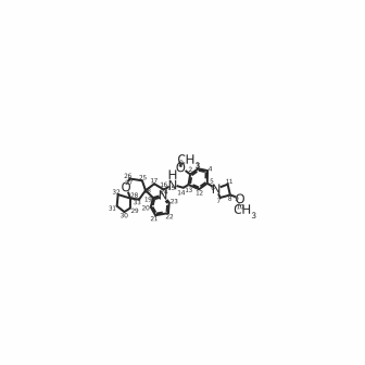 COc1ccc(N2CC(OC)C2)cc1CNCCC1(c2ccccn2)CCOC2(CCCC2)C1